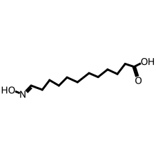 O=C(O)CCCCCCCCCCC=NO